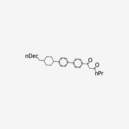 CCCCCCCCCCCC1CCC(c2ccc(-c3ccc(C(=O)CC(=O)CCC)cc3)cc2)CC1